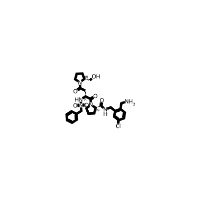 NCc1ccc(Cl)cc1CNC(=O)[C@@H]1CCCN1C(=O)[C@@H](CC(=O)N1CCC[C@@H]1CO)NS(=O)(=O)Cc1ccccc1